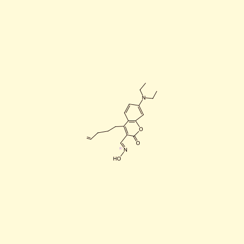 C=CCCCc1c(/C=N/O)c(=O)oc2cc(N(CC)CC)ccc12